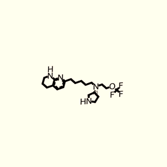 FC(F)(F)OCCN(CCCCCc1ccc2c(n1)NCCC2)[C@@H]1CCNC1